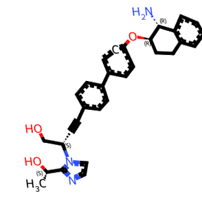 C[C@H](O)c1nccn1[C@@H](C#Cc1ccc(-c2ccc(O[C@@H]3CCc4ccccc4[C@H]3N)cc2)cc1)CO